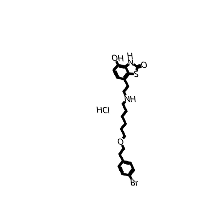 Cl.O=c1[nH]c2c(O)ccc(CCNCCCCCCOCCc3ccc(Br)cc3)c2s1